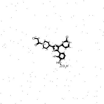 O=C(O)Nc1cccc(-c2nc(C3CCN(C(=O)CCl)CC3)sc2-c2ccnc(Cl)n2)c1F